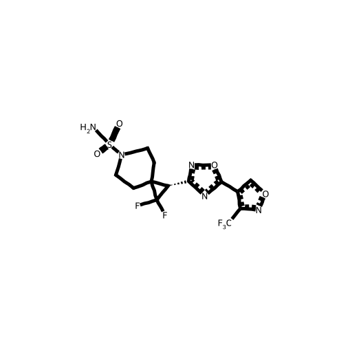 NS(=O)(=O)N1CCC2(CC1)[C@H](c1noc(-c3conc3C(F)(F)F)n1)C2(F)F